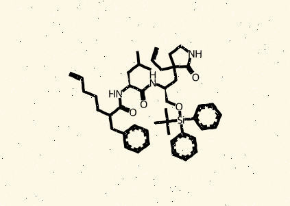 C=CCCCC(Cc1ccccc1)C(=O)N[C@@H](CC(C)C)C(=O)N[C@H](CO[Si](c1ccccc1)(c1ccccc1)C(C)(C)C)CC1(CC=C)CCNC1=O